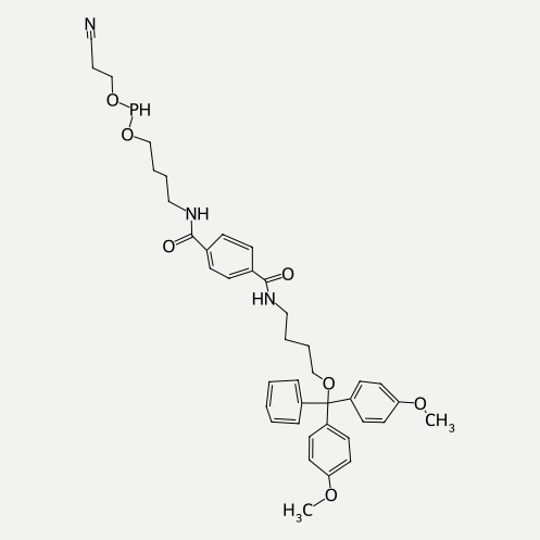 COc1ccc(C(OCCCCNC(=O)c2ccc(C(=O)NCCCCOPOCCC#N)cc2)(c2ccccc2)c2ccc(OC)cc2)cc1